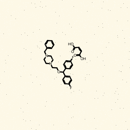 Fc1ccc(C(OCCN2CCN(Cc3ccccc3)CC2)c2ccc(F)cc2)cc1.O=C(O)/C=C\C(=O)O